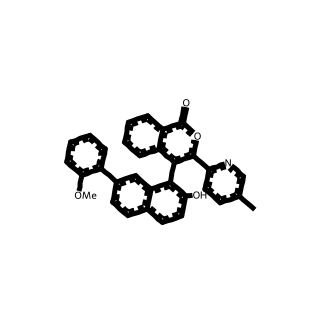 COc1ccccc1-c1ccc2ccc(O)c(-c3c(-c4ccc(C)cn4)oc(=O)c4ccccc34)c2c1